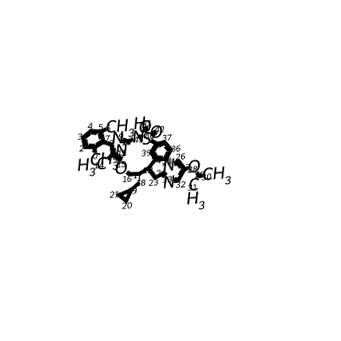 Cc1cccc(C)c1-c1nc2nc(c1C)OC[C@@H](CC1CC1)C(Cc1ncc(OC(C)C)cn1)c1cccc(c1)S(=O)(=O)N2